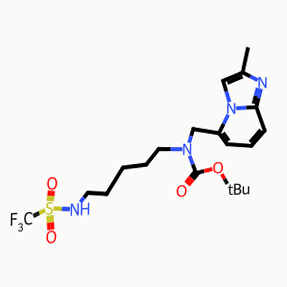 Cc1cn2c(CN(CCCCCNS(=O)(=O)C(F)(F)F)C(=O)OC(C)(C)C)cccc2n1